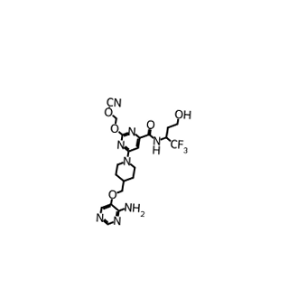 N#COCOc1nc(C(=O)NC(CCO)C(F)(F)F)cc(N2CCC(COc3cncnc3N)CC2)n1